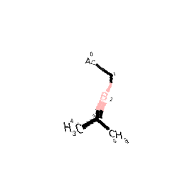 CC(=O)CB=C(C)C